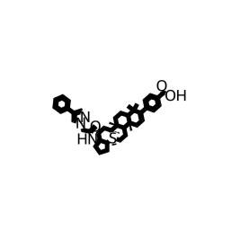 CC1(C)C(c2ccc(C(=O)O)cc2)=CC[C@@]2(C)C1CC[C@]1(C)C2CCS2(C)C3CCC[C@]3(NC(=O)Cn3cc(-c4ccccc4)cn3)CC[C@@]12C